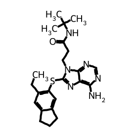 CCc1cc2c(cc1Sc1nc3c(N)ncnc3n1CCC(=O)NC(C)(C)C)CCC2